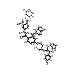 O=C(N[S+]([O-])c1ccc(NCC2CCOCC2)c([N+](=O)[O-])c1)c1ccc(C2CCN(CC3=C(c4ccc(Cl)cc4)CC4(CCC4)CC3)CC2)cc1Oc1cnc2[nH]ccc2c1